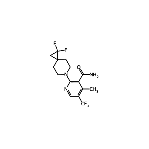 Cc1c(C(F)(F)F)cnc(N2CCC3(CC2)CC3(F)F)c1C(N)=O